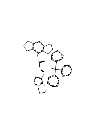 C[C@@H]1Cn2ncc([S@](=O)(=NC(=O)Nc3c4c(cc5c3CCC5)CCC4)NC(c3ccccc3)(c3ccccc3)c3ccccc3)c2O1